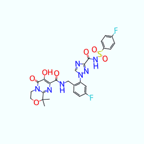 CC1(C)OCCn2c1nc(C(=O)NCc1ccc(F)cc1-n1cnc(C(=O)NS(=O)(=O)c3ccc(F)cc3)n1)c(O)c2=O